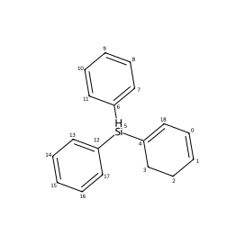 C1=CCCC([SiH](c2ccccc2)c2ccccc2)=C1